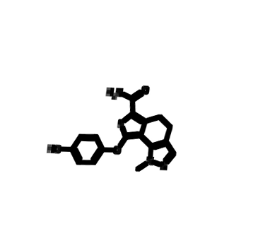 Cn1ncc2c1-c1c(Oc3ccc(O)cc3)sc(C(N)=O)c1CC2